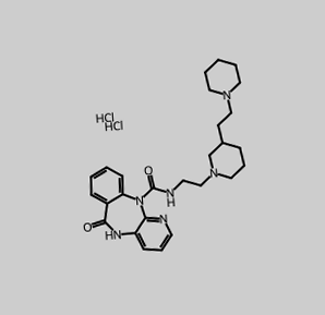 Cl.Cl.O=C1Nc2cccnc2N(C(=O)NCCN2CCCC(CCN3CCCCC3)C2)c2ccccc21